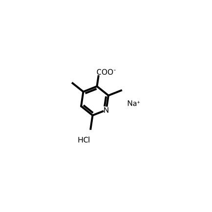 Cc1cc(C)c(C(=O)[O-])c(C)n1.Cl.[Na+]